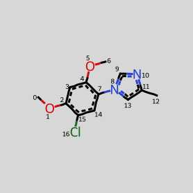 COc1cc(OC)c(-n2cnc(C)c2)cc1Cl